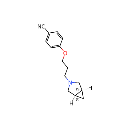 N#Cc1ccc(OCCCN2C[C@H]3C[C@H]3C2)cc1